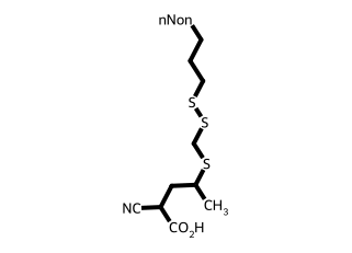 CCCCCCCCCCCCSSCSC(C)CC(C#N)C(=O)O